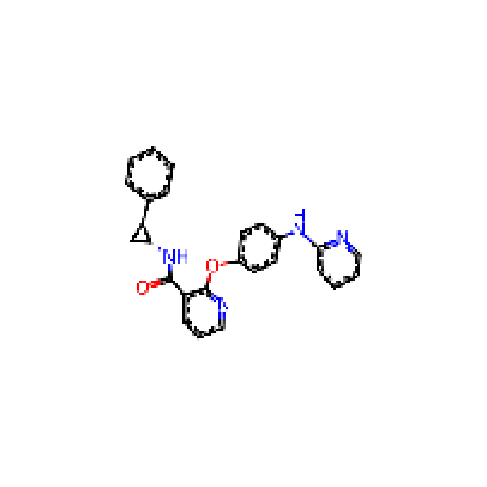 O=C(N[C@@H]1CC1c1ccccc1)c1cccnc1Oc1ccc(Nc2ccccn2)cc1